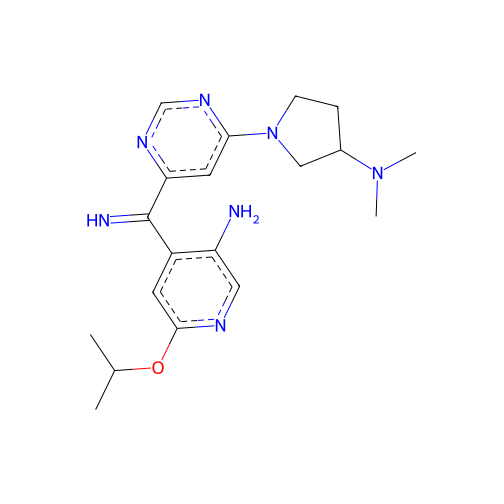 CC(C)Oc1cc(C(=N)c2cc(N3CCC(N(C)C)C3)ncn2)c(N)cn1